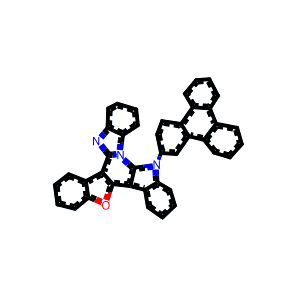 c1ccc2c(c1)nc1c3c4ccccc4oc3c3c4ccccc4n(-c4ccc5c6ccccc6c6ccccc6c5c4)c3n21